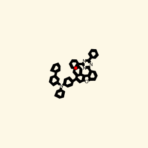 c1ccc(-c2cccc(N(c3ccccc3)c3ccc(-c4cc5oc6cccc(-c7nc(-c8ccccc8)nc(-c8ccccc8)n7)c6c5c5ccccc45)cc3)c2)cc1